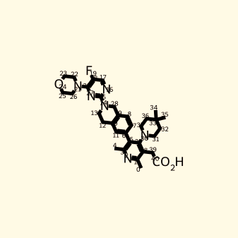 Cc1nc(C)c(-c2ccc3c(c2)CCN(c2ncc(F)c(N4CCOCC4)n2)C3)c(N2CCC(C)(C)CC2)c1CC(=O)O